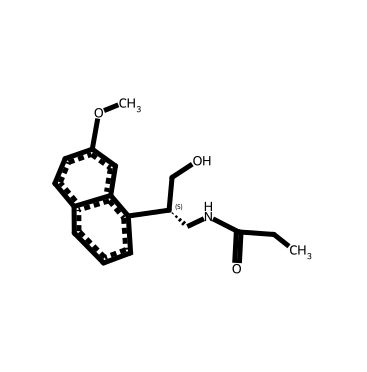 CCC(=O)NC[C@@H](CO)c1cccc2ccc(OC)cc12